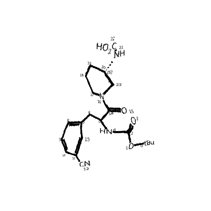 CC(C)(C)OC(=O)NC(Cc1cccc(C#N)c1)C(=O)N1CCC[C@H](NC(=O)O)C1